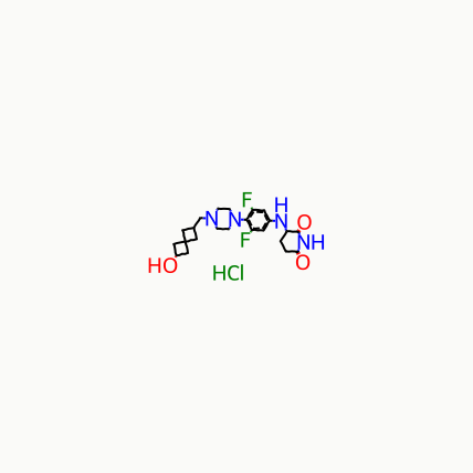 Cl.O=C1CCC(Nc2cc(F)c(N3CCN(CC4CC5(CC(O)C5)C4)CC3)c(F)c2)C(=O)N1